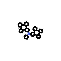 C1=CCC2C(=C1)C1CC(N(C3=CC4C(C=C3)C3=CCCC=C3C3=CCCC=C3[C@H]3C=CC=CC43)C3C=CC=CC3)=CC=C1c1ccccc1-c1ccccc12